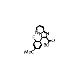 CCC(C)C(=O)c1nc2cccnn2c1-c1ccc(OC)cc1F